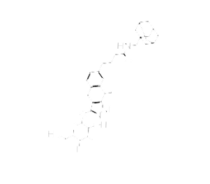 CC1c2cc(CCCC(=O)NCC34CC5CC(CC(C5)C3)C4)ccc2Cc2c(OC3OC(CO)C(F)C(O)C3O)n[nH]c21